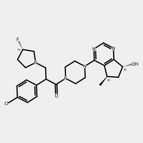 C[C@@H]1C[C@@H](O)c2ncnc(N3CCN(C(=O)C(CN4CC[C@H](F)C4)c4ccc(Cl)cc4)CC3)c21